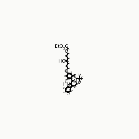 CCOC(=O)COCCCC(O)CCCOc1cc(F)c(C2c3[nH]c4ccccc4c3C[C@@H](C)N2CC(C)(C)F)c(F)c1